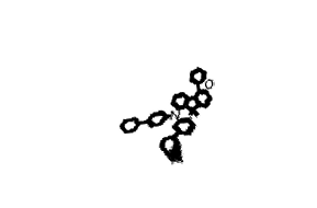 CC1(C)c2ccc3oc4ccccc4c3c2-c2cccc(N(c3ccc(C4CCCCC4)cc3)c3cccc(-c4ccccc4)c3)c21